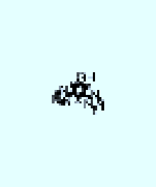 Oc1cc(-c2ncncn2)cc(-c2ncncn2)c1